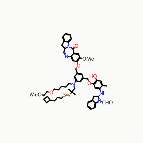 COCCOCCCCCN(CC(C)(C)SSCCCC1CCC1)c1cc(COc2cc(N[C@@H]3Cc4ccccc4N3C=O)c(C)cc2O)cc(COc2cc3c(cc2OC)C(=O)N2c4ccccc4CC2C=N3)c1